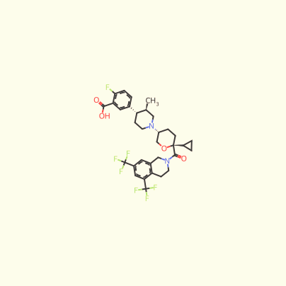 C[C@H]1CN([C@@H]2CC[C@@](C(=O)N3CCc4c(cc(C(F)(F)F)cc4C(F)(F)F)C3)(C3CC3)OC2)CC[C@@H]1c1ccc(F)c(C(=O)O)c1